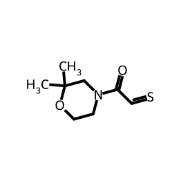 CC1(C)CN(C(=O)C=S)CCO1